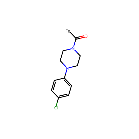 O=[C]([Fe])N1CCN(c2ccc(Cl)cc2)CC1